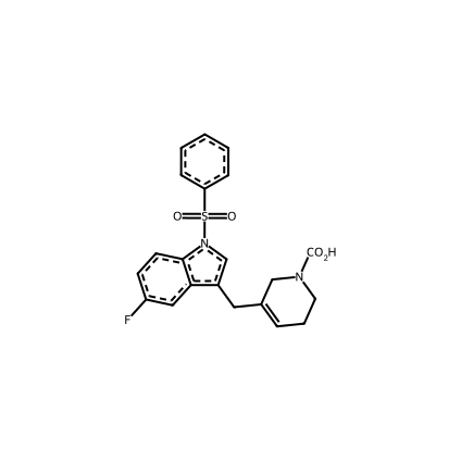 O=C(O)N1CCC=C(Cc2cn(S(=O)(=O)c3ccccc3)c3ccc(F)cc23)C1